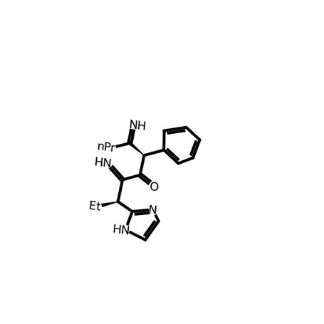 CCCC(=N)[C@H](C(=O)C(=N)[C@H](CC)c1ncc[nH]1)c1ccccc1